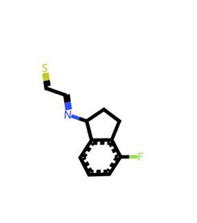 Fc1cccc2c1CCC2N=CC=S